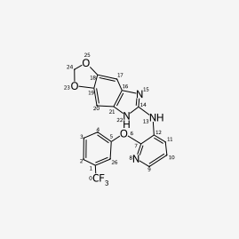 FC(F)(F)c1cccc(Oc2ncccc2Nc2nc3cc4c(cc3[nH]2)OCO4)c1